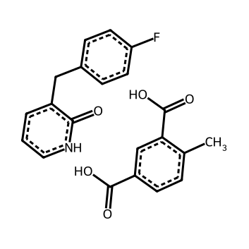 Cc1ccc(C(=O)O)cc1C(=O)O.O=c1[nH]cccc1Cc1ccc(F)cc1